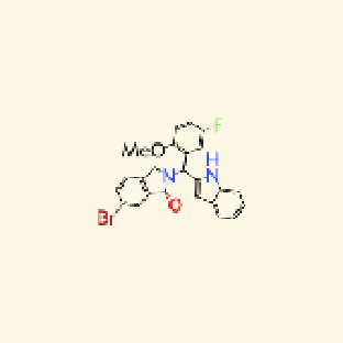 COc1ccc(F)cc1C(c1cc2ccccc2[nH]1)N1Cc2ccc(Br)cc2C1=O